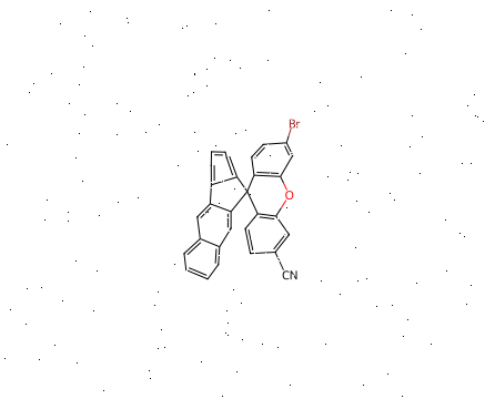 N#Cc1ccc2c(c1)Oc1cc(Br)ccc1C21c2ccccc2-c2cc3ccccc3cc21